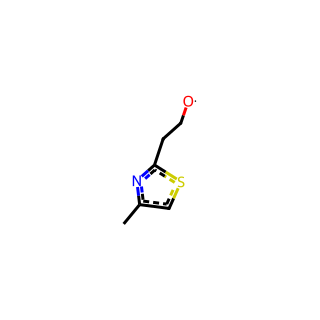 Cc1csc(CC[O])n1